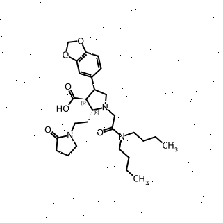 CCCCN(CCCC)C(=O)CN1CC(c2ccc3c(c2)OCO3)[C@H](C(=O)O)[C@H]1CCN1CCCC1=O